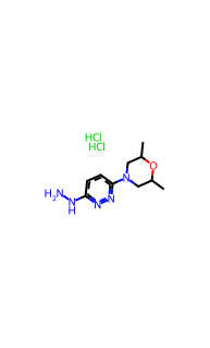 CC1CN(c2ccc(NN)nn2)CC(C)O1.Cl.Cl